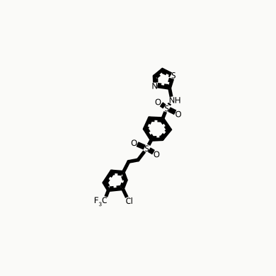 O=S(=O)(CCc1ccc(C(F)(F)F)c(Cl)c1)c1ccc(S(=O)(=O)Nc2nccs2)cc1